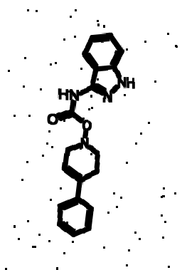 O=C(Nc1n[nH]c2ccccc12)ON1CC=C(c2ccccc2)CC1